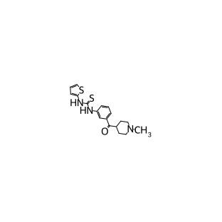 CN1CCC(C(=O)c2cccc(NC(=S)Nc3cccs3)c2)CC1